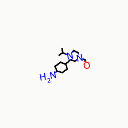 CC(C)N1CCN(C=O)CC1C1CCC(N)CC1